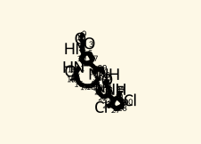 COC(=O)Nc1ccc2c(c1)NC(=O)[C@H](C)CCC[C@H](N1CCC(c3c(Cl)ccc(Cl)c3F)NC1=O)c1nc-2c[nH]1